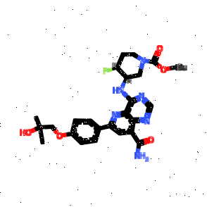 CC(C)(O)COc1ccc(-c2cc(C(N)=O)c3ncnc(N[C@@H]4CN(C(=O)OC(C)(C)C)CC[C@@H]4F)c3n2)cc1